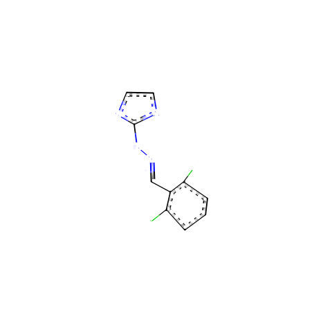 Clc1cccc(Cl)c1/C=N/Nc1ncc[nH]1